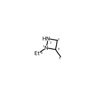 CCN1NCC1C